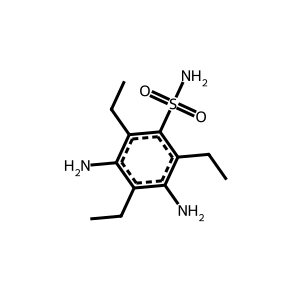 CCc1c(N)c(CC)c(S(N)(=O)=O)c(CC)c1N